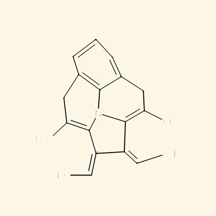 C/C=c1\c2n3c(\c1=C/C)=C(C)Cc1cccc(c1-3)CC=2C